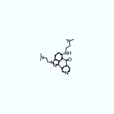 CN(C)CCNc1ccc2c3c(nn2CCN(C)C)-c2cnccc2C(=O)c13